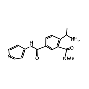 CNC(=O)c1cc(C(=O)Nc2ccncc2)ccc1C(C)N